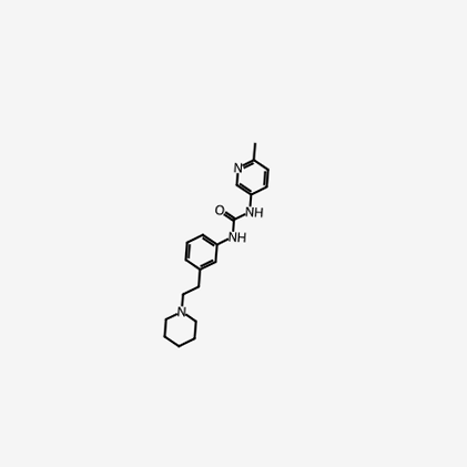 Cc1ccc(NC(=O)Nc2cccc(CCN3CCCCC3)c2)cn1